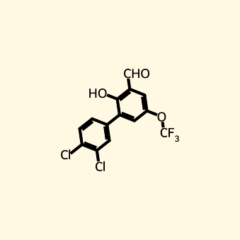 O=Cc1cc(OC(F)(F)F)cc(-c2ccc(Cl)c(Cl)c2)c1O